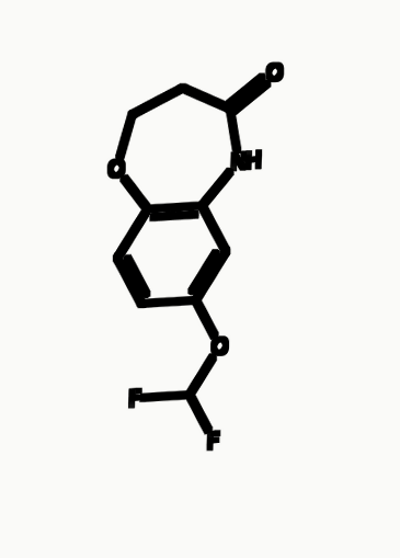 O=C1CCOc2ccc(OC(F)F)cc2N1